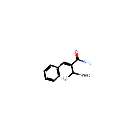 CCCCCC(C)/C(=C\c1ccccc1)C(N)=O